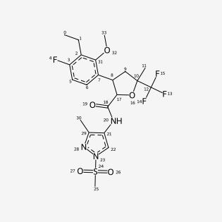 CCc1c(F)ccc(C2CC(C)(C(F)(F)F)OC2C(=O)Nc2cn(S(C)(=O)=O)nc2C)c1OC